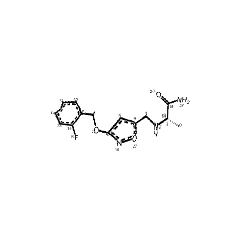 C[C@H](NCc1cc(OCc2ccccc2F)no1)C(N)=O